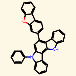 c1ccc(-n2c3ccccc3c3c4[nH]c5ccccc5c4c(-c4ccc5c(c4)oc4ccccc45)cc32)cc1